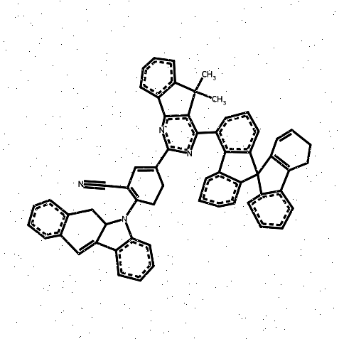 CC1(C)c2ccccc2-c2nc(C3=CC(C#N)=C(N4c5ccccc5C5=Cc6ccccc6CC54)CC3)nc(-c3cccc4c3-c3ccccc3C43C4=C(CCC=C4)c4ccccc43)c21